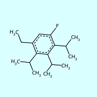 CCc1cc(F)c(C(C)C)c(C(C)C)c1C(C)C